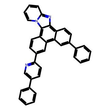 c1ccc(-c2ccc(-c3ccc4c(c3)c3cc(-c5ccccc5)ccc3c3nc5ccccn5c43)nc2)cc1